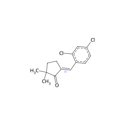 CC1(C)CC/C(=C\c2ccc(Cl)cc2Cl)C1=O